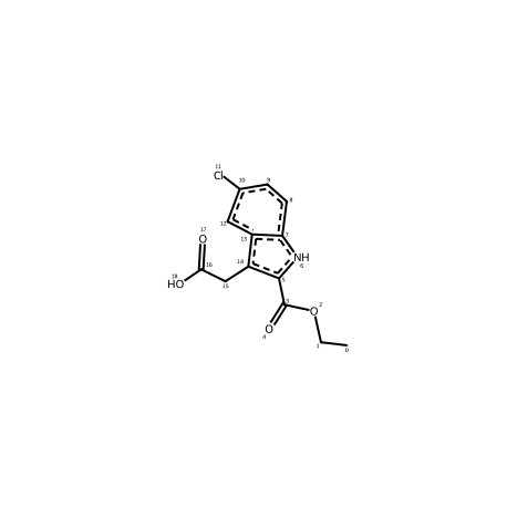 CCOC(=O)c1[nH]c2ccc(Cl)cc2c1CC(=O)O